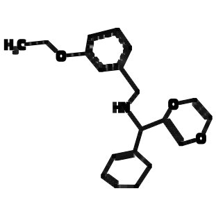 CCOc1cccc(CNC(C2=CC=CCC2)C2=COC=CO2)c1